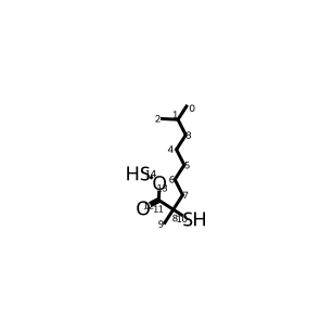 CC(C)CCCCCC(C)(S)C(=O)OS